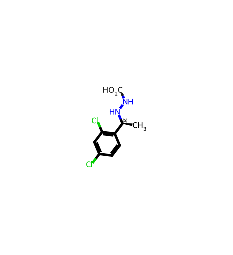 C[C@H](NNC(=O)O)c1ccc(Cl)cc1Cl